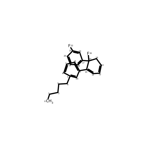 CCCCCc1cccc(C2=CC=CCC2(F)c2cccc(F)c2)c1